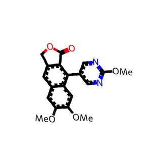 COc1ncc(-c2c3c(cc4cc(OC)c(OC)cc24)COC3=O)cn1